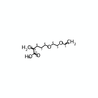 C=COCCOCCCC(=C)C(=O)O